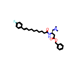 CN(C)C[C@@H](CC(=O)OCc1ccccc1)NC(=O)CCCCCCC/C=C/c1ccc(F)cc1